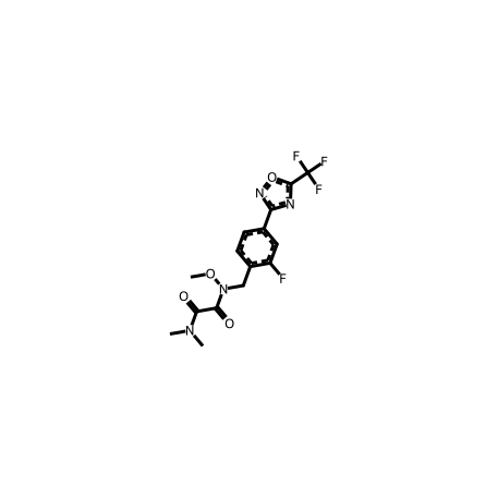 CON(Cc1ccc(-c2noc(C(F)(F)F)n2)cc1F)C(=O)C(=O)N(C)C